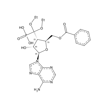 CCOC(OCC)([C@H]1[C@@H](O)[C@H](n2cnc3c(N)ncnc32)O[C@@H]1COC(=O)c1ccccc1)P(=O)(O)O